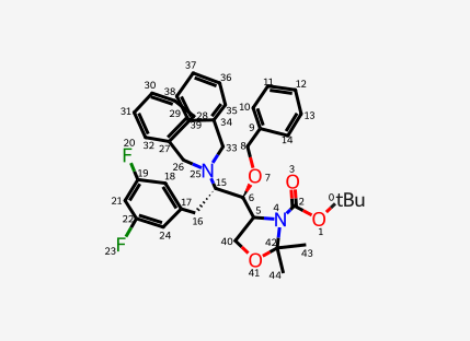 CC(C)(C)OC(=O)N1C([C@H](OCc2ccccc2)[C@H](Cc2cc(F)cc(F)c2)N(Cc2ccccc2)Cc2ccccc2)COC1(C)C